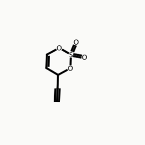 C#CC1C=COS(=O)(=O)O1